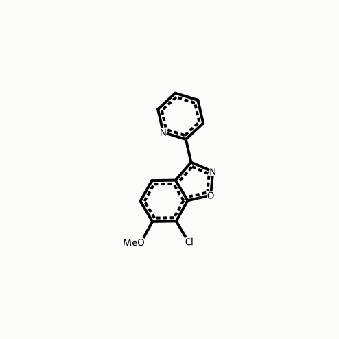 COc1ccc2c(-c3ccccn3)noc2c1Cl